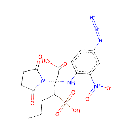 CCCC(C(Nc1ccc(N=[N+]=[N-])cc1[N+](=O)[O-])(C(=O)O)N1C(=O)CCC1=O)S(=O)(=O)O